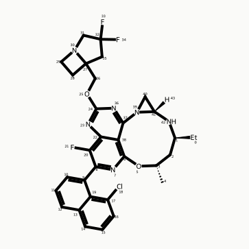 CC[C@H]1C[C@H](C)Oc2nc(-c3cccc4cccc(Cl)c34)c(F)c3nc(OCC45CCN4CC(F)(F)C5)nc(c23)N2C[C@@H]2N1